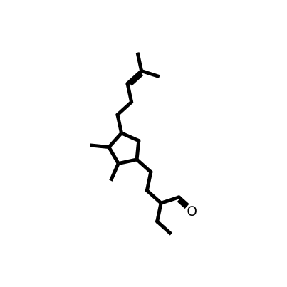 CCC(C=O)CCC1CC(CCC=C(C)C)C(C)C1C